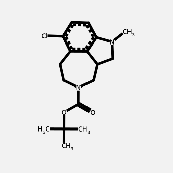 CN1CC2CN(C(=O)OC(C)(C)C)CCc3c(Cl)ccc1c32